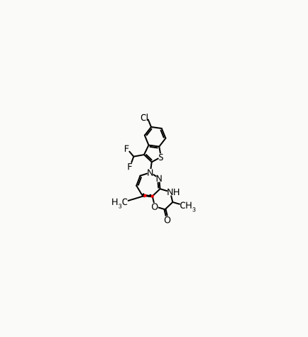 CC1=C2C=CN(c3sc4ccc(Cl)cc4c3C(F)F)N=C3NC(C)C(=O)OC32C=CC1